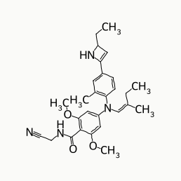 CC/C(C)=C\N(c1cc(OC)c(C(=O)NCC#N)c(OC)c1)c1ccc(C2=CC(CC)N2)cc1C